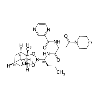 CCC[C@H](NC(=O)C(CC(=O)N1CCOCC1)NC(=O)c1cnccn1)B1O[C@@H]2C[C@@H]3C[C@@H](C3(C)C)[C@]2(C)O1